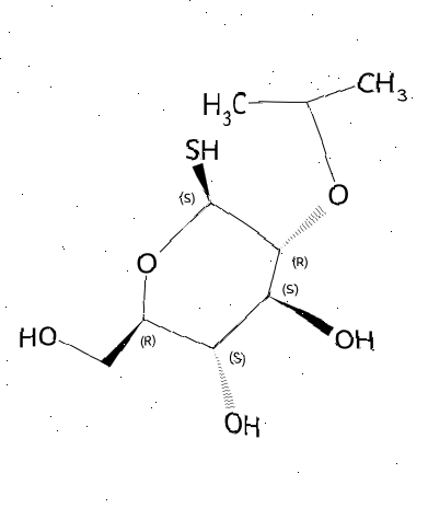 CC(C)O[C@@H]1[C@@H](O)[C@H](O)[C@@H](CO)O[C@H]1S